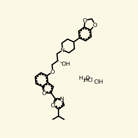 CC(C)c1cnc(-c2cc3c(OC[C@@H](O)CN4CCC(c5ccc6c(c5)OCO6)CC4)cccc3o2)o1.Cl.Cl.O